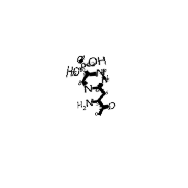 CC(=O)C(N)Cc1ncc(P(=O)(O)O)nn1